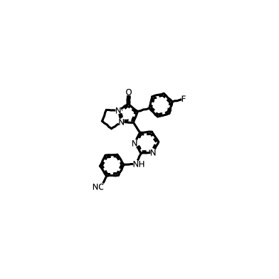 N#Cc1cccc(Nc2nccc(-c3c(-c4ccc(F)cc4)c(=O)n4n3CCC4)n2)c1